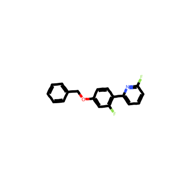 Fc1cccc(-c2ccc(OCc3ccccc3)cc2F)n1